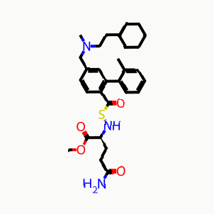 COC(=O)[C@H](CCC(N)=O)NSC(=O)c1ccc(CN(C)CCC2CCCCC2)cc1-c1ccccc1C